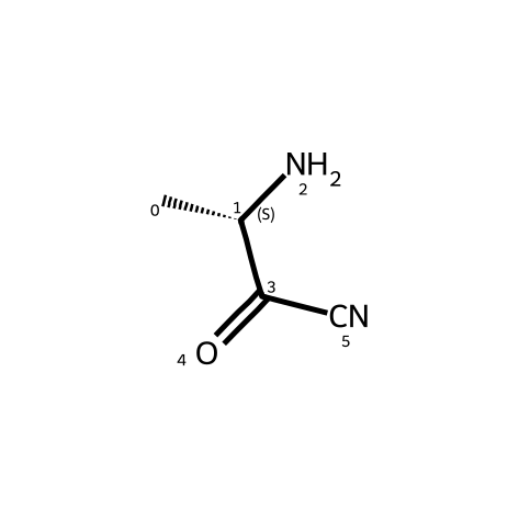 C[C@H](N)C(=O)C#N